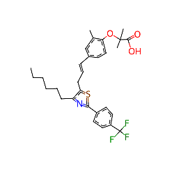 CCCCCCc1nc(-c2ccc(C(F)(F)F)cc2)sc1CC=Cc1ccc(OC(C)(C)C(=O)O)c(C)c1